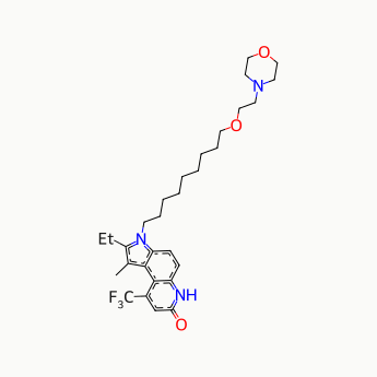 CCc1c(C)c2c3c(C(F)(F)F)cc(=O)[nH]c3ccc2n1CCCCCCCCCOCCN1CCOCC1